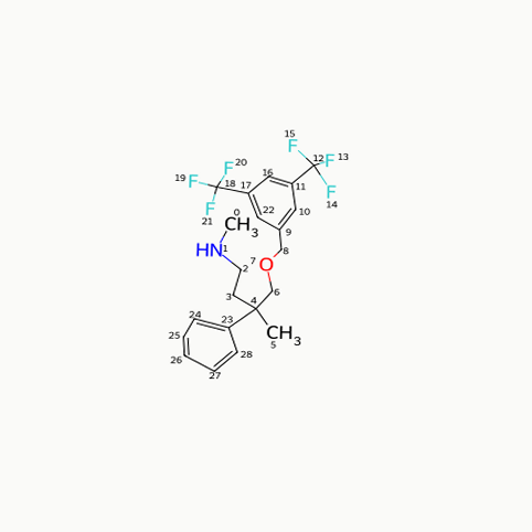 CNCCC(C)(COCc1cc(C(F)(F)F)cc(C(F)(F)F)c1)c1ccccc1